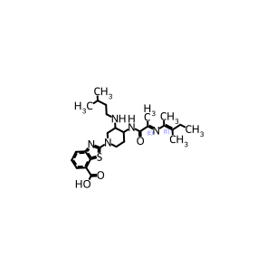 CC/C(C)=C(C)/N=C(\C)C(=O)NC1CCN(c2nc3cccc(C(=O)O)c3s2)CC1NCCC(C)C